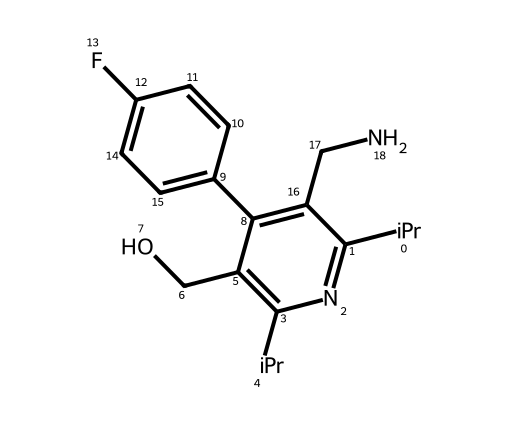 CC(C)c1nc(C(C)C)c(CO)c(-c2ccc(F)cc2)c1CN